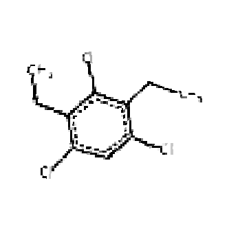 CCc1c(Cl)[c]c(Cl)c(CC)c1Cl